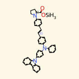 O=C(O[SiH3])[C@@H]1CCCN1c1ccc(/C=C/c2ccc(N(c3ccccc3)c3ccc(-n4c5ccccc5c5ccccc54)cc3)cc2)cc1